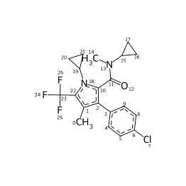 Cc1c(-c2ccc(Cl)cc2)c(C(=O)N(C)C2CC2)n(C2CC2)c1C(F)(F)F